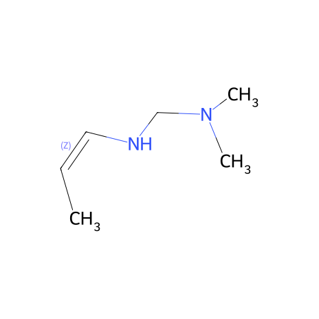 C/C=C\NCN(C)C